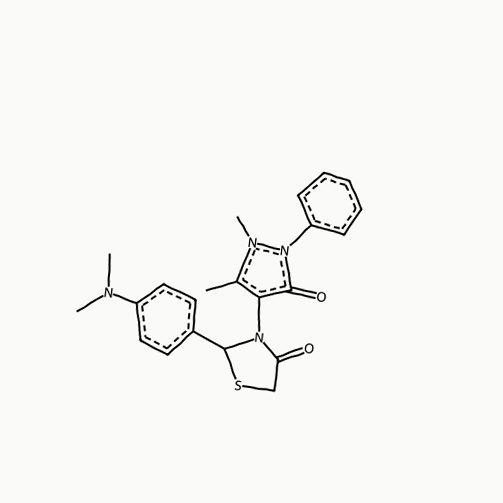 Cc1c(N2C(=O)CSC2c2ccc(N(C)C)cc2)c(=O)n(-c2ccccc2)n1C